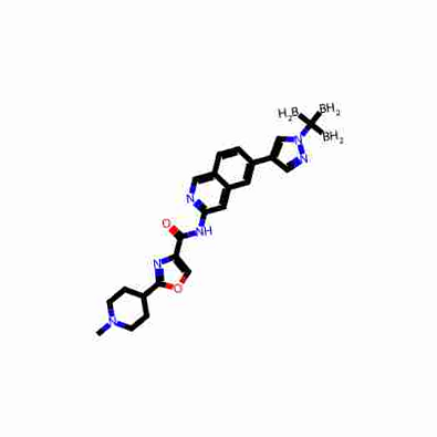 BC(B)(B)n1cc(-c2ccc3cnc(NC(=O)c4coc(C5CCN(C)CC5)n4)cc3c2)cn1